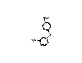 CNc1ccc(Oc2cc(N)ncn2)cc1